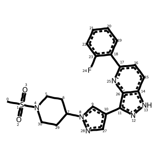 CS(=O)(=O)N1CCC(n2cc(-c3n[nH]c4ccc(-c5ccccc5F)nc34)cn2)CC1